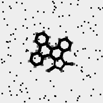 O=C1OC(=O)c2c1c1ccccc1c1c3ccccc3c3ccccc3c21